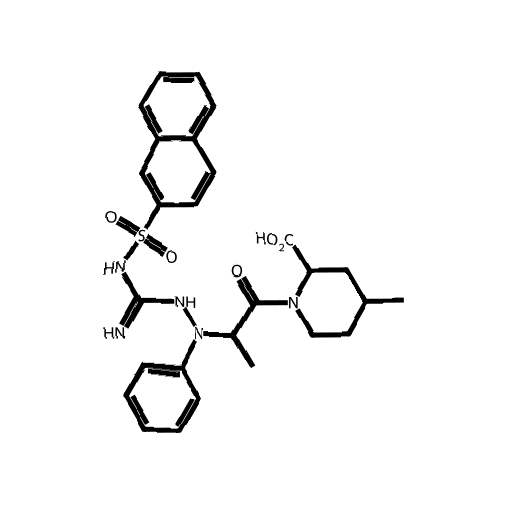 CC1CCN(C(=O)C(C)N(NC(=N)NS(=O)(=O)c2ccc3ccccc3c2)c2ccccc2)C(C(=O)O)C1